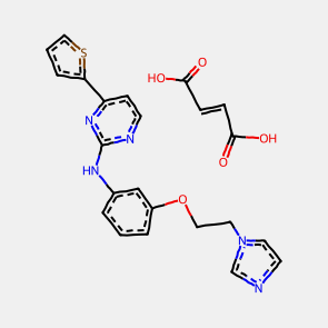 O=C(O)C=CC(=O)O.c1cc(Nc2nccc(-c3cccs3)n2)cc(OCCn2ccnc2)c1